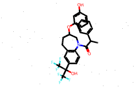 CC(C(=O)N1CC(Oc2cccc(O)c2)CCc2cc(C(O)(C(F)(F)F)C(F)(F)F)ccc21)c1ccccc1